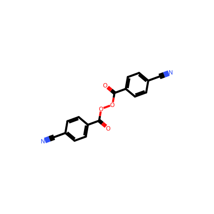 N#Cc1ccc(C(=O)OOC(=O)c2ccc(C#N)cc2)cc1